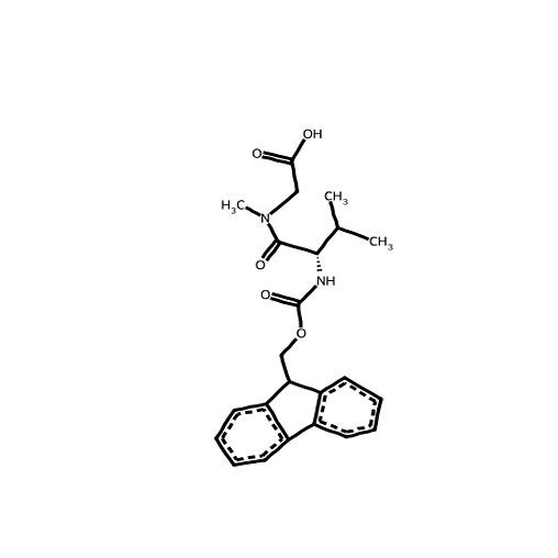 CC(C)[C@H](NC(=O)OCC1c2ccccc2-c2ccccc21)C(=O)N(C)CC(=O)O